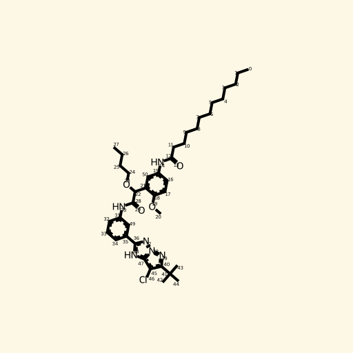 CCCCCCCCCCCCC(=O)Nc1ccc(OC)c(C(OCCCC)C(=O)Nc2cccc(-c3nn4nc(C(C)(C)C)c(Cl)c4[nH]3)c2)c1